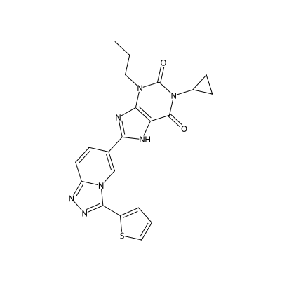 CCCn1c(=O)n(C2CC2)c(=O)c2[nH]c(-c3ccc4nnc(-c5cccs5)n4c3)nc21